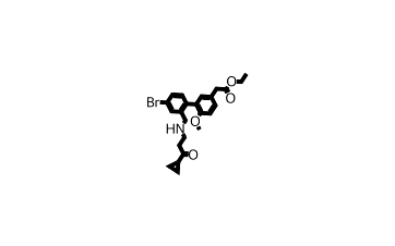 CCOC(=O)Cc1ccc(OC)c(-c2ccc(Br)cc2CNCCC(=O)C2CC2)c1